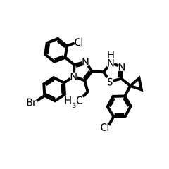 CCc1c(C2NN=C(C3(c4ccc(Cl)cc4)CC3)S2)nc(-c2ccccc2Cl)n1-c1ccc(Br)cc1